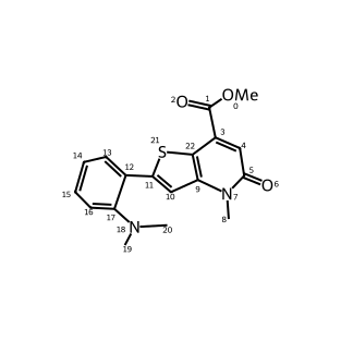 COC(=O)c1cc(=O)n(C)c2cc(-c3ccccc3N(C)C)sc12